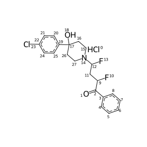 Cl.O=C(c1ccccc1)C(F)CC(F)N1CCC(O)(c2ccc(Cl)cc2)CC1